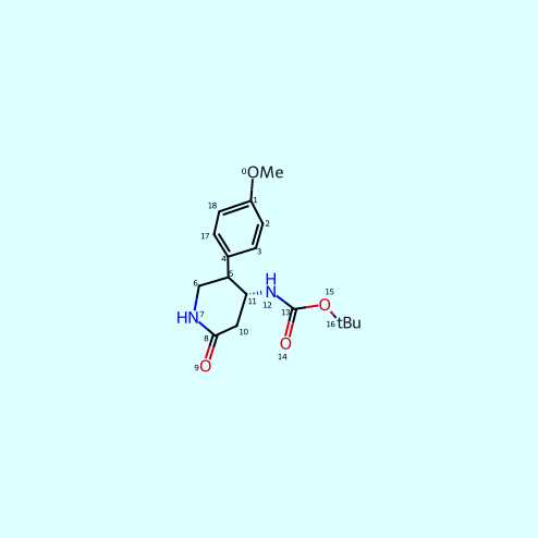 COc1ccc(C2CNC(=O)C[C@H]2NC(=O)OC(C)(C)C)cc1